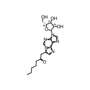 CCCCCC(=O)Cc1cnc2c3ncn(C4O[C@H](CO)[C@@H](O)[C@H]4O)c3ncn12